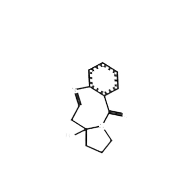 O=C1c2ccccc2/N=C/CC2(S)CCCN12